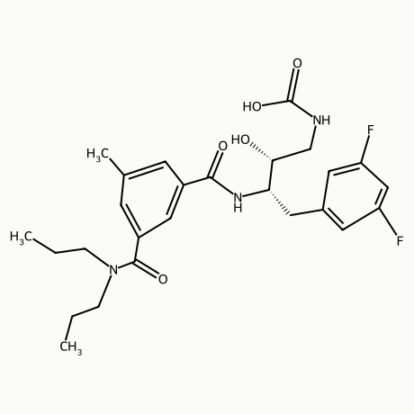 CCCN(CCC)C(=O)c1cc(C)cc(C(=O)N[C@@H](Cc2cc(F)cc(F)c2)[C@H](O)CNC(=O)O)c1